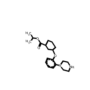 CC(C)OC(=O)C1CCCC(Oc2ccccc2N2CCNCC2)C1